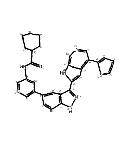 O=C(Nc1cncc(-c2ccc3[nH]nc(-c4cc5c(-c6cccs6)cncc5[nH]4)c3c2)c1)C1CCCCC1